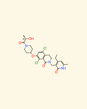 CCc1cc(C)[nH]c(=O)c1CN1CCc2c(Cl)cc(OC3CCN(C(=O)[C@@H](C)O)CC3)c(Cl)c2C1=O